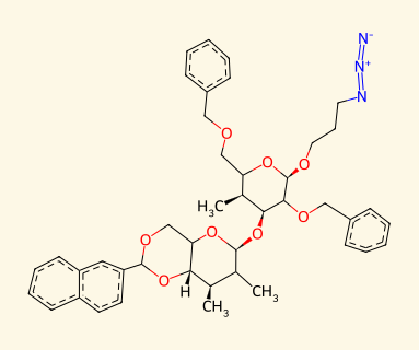 CC1[C@H](O[C@@H]2C(OCc3ccccc3)[C@H](OCCCN=[N+]=[N-])OC(COCc3ccccc3)[C@@H]2C)OC2COC(c3ccc4ccccc4c3)O[C@H]2[C@@H]1C